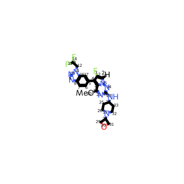 [2H]c1c(F)c(-c2ccc3nnn(CC(F)F)c3c2)c2c(OC)nc(NC3CCN(C4COC4)CC3)nn12